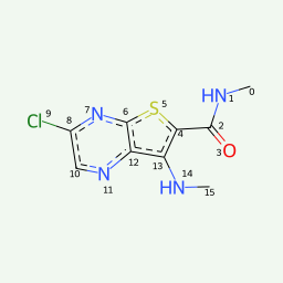 CNC(=O)c1sc2nc(Cl)cnc2c1NC